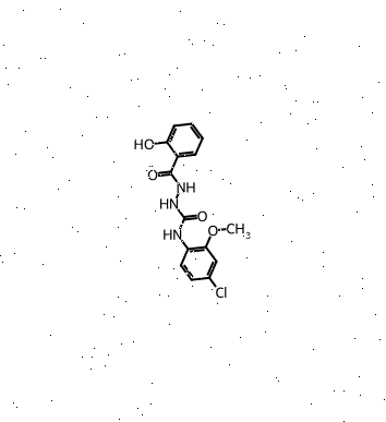 COc1cc(Cl)ccc1NC(=O)NNC(=O)c1ccccc1O